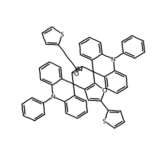 c1ccc(N2c3ccccc3C3(c4ccccc42)c2cc(-c4cccs4)oc2C2(c4ccccc4N(c4ccccc4)c4ccccc42)c2cc(-c4cccs4)oc23)cc1